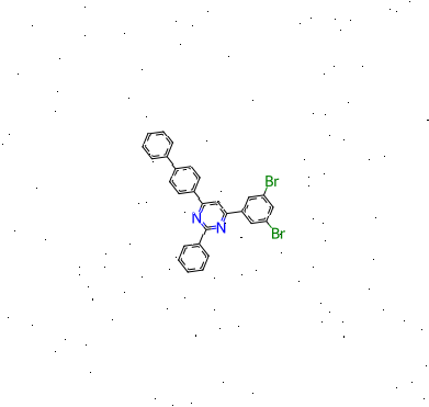 Brc1cc(Br)cc(-c2cc(-c3ccc(-c4ccccc4)cc3)nc(-c3ccccc3)n2)c1